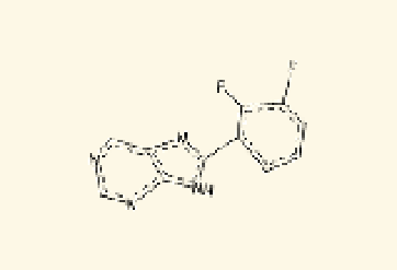 Fc1cccc(-c2nc3cncnc3[nH]2)c1F